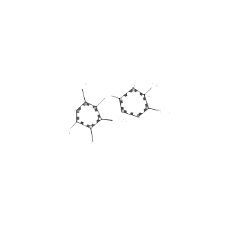 CSc1c(C)c([N+](=O)[O-])cc(F)c1Oc1ccc(F)c(N)c1